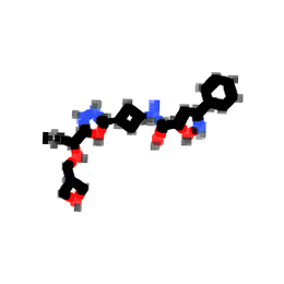 CC(OCC1COC1)c1nnc([C@H]2C[C@H](NC(=O)c3cc(-c4ccccc4)no3)C2)o1